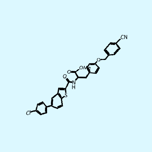 COC(=O)C(Cc1ccc(OCc2ccc(C#N)cc2)cc1)NC(=O)c1cc2cc(-c3ccc(Cl)cc3)ccc2s1